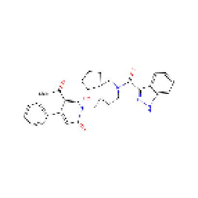 CNC(=O)c1cn(CC2(O)CCN(C(=O)c3n[nH]c4ccccc34)CC23CCCC3)c(=O)cc1-c1ccccc1